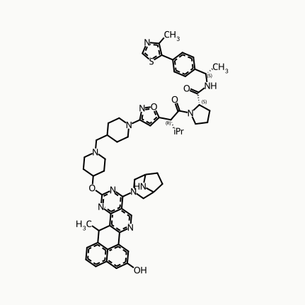 Cc1ncsc1-c1ccc([C@H](C)NC(=O)[C@@H]2CCCN2C(=O)[C@@H](c2cc(N3CCC(CN4CCC(Oc5nc(N6CC7CCC(C6)N7)c6cnc7c(c6n5)C(C)c5cccc6cc(O)cc-7c56)CC4)CC3)no2)C(C)C)cc1